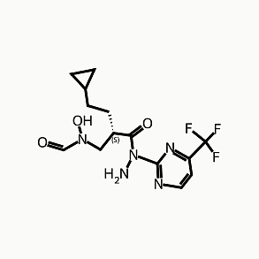 NN(C(=O)[C@@H](CCC1CC1)CN(O)C=O)c1nccc(C(F)(F)F)n1